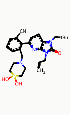 C=CCn1c(=O)n(CC(C)(C)C)c2ccc(-c3c(C#N)cccc3CN3CCS(O)(O)CC3)nc21